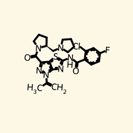 C=C(C)n1nc(C(=O)N2CCC[C@H]2CN2CCCC2)c2sc(NC(=O)c3ccc(F)cc3Cl)nc21